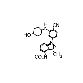 Cc1nn(-c2ccc(C#N)c(NC3CCC(O)CC3)c2)c2cccc(C(=O)O)c12